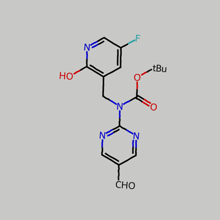 CC(C)(C)OC(=O)N(Cc1cc(F)cnc1O)c1ncc(C=O)cn1